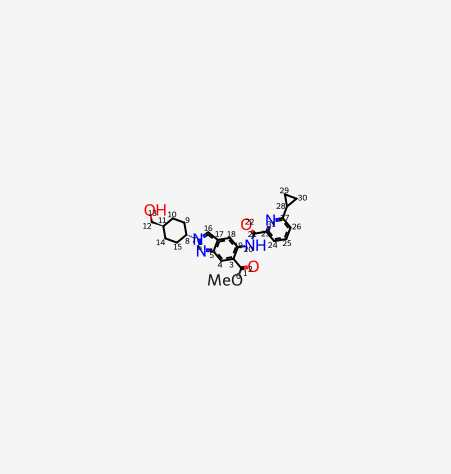 COC(=O)c1cc2nn([C@H]3CC[C@H](CO)CC3)cc2cc1NC(=O)c1cccc(C2CC2)n1